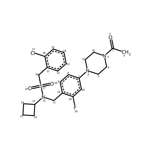 CC(=O)N1CCN(c2ccc(CN(C3CCC3)S(=O)(=O)Cc3ccccc3Cl)c(F)c2)CC1